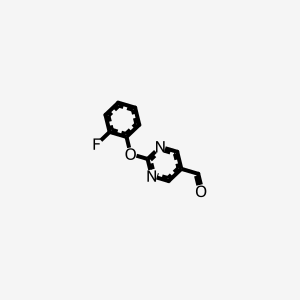 O=Cc1cnc(Oc2ccccc2F)nc1